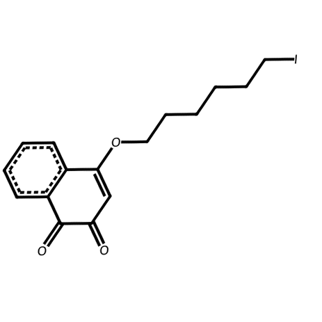 O=C1C=C(OCCCCCCI)c2ccccc2C1=O